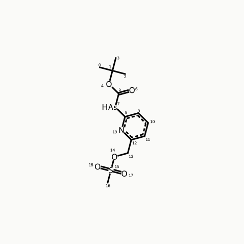 CC(C)(C)OC(=O)[AsH]c1cccc(COS(C)(=O)=O)n1